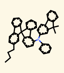 CCCCc1ccc2c(c1)C1(c3ccccc3-2)c2ccccc2-c2c(N(c3ccccc3)c3ccc4c(c3)C(C)(C)c3ccccc3-4)cccc21